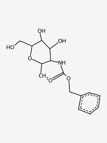 CC1OC(CO)C(O)C(O)C1NC(=O)OCc1ccccc1